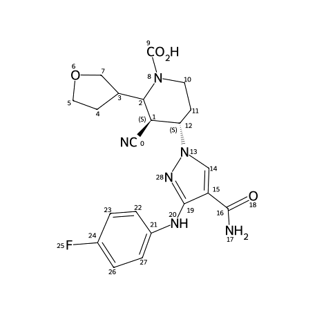 N#C[C@H]1C(C2CCOC2)N(C(=O)O)CC[C@@H]1n1cc(C(N)=O)c(Nc2ccc(F)cc2)n1